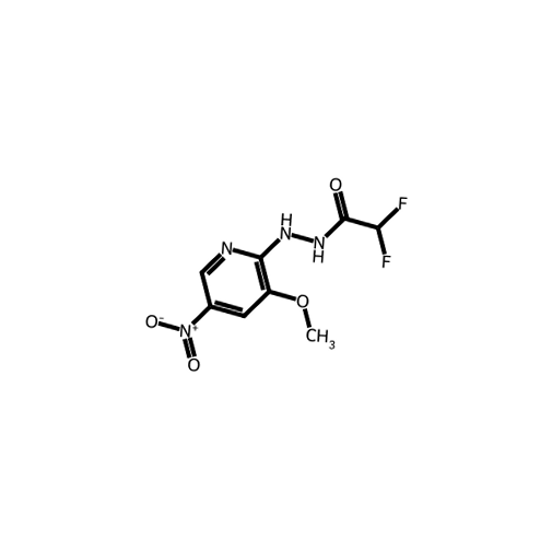 COc1cc([N+](=O)[O-])cnc1NNC(=O)C(F)F